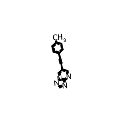 Cc1ccc(C#Cc2cnc3ncnn3c2)cc1